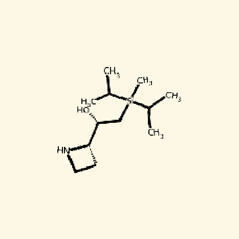 CC(C)[Si](C)(C[C@@H](O)[C@@H]1CCN1)C(C)C